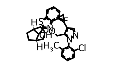 Cc1cccc(Cl)c1-n1ncc(C2CC2)c1CO[C@@H]1C[C@H]2CC[C@@H](C1)[C@]2(O)c1nc2c(F)cccc2s1